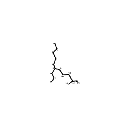 CCCCCC(CCC)CCCC(C)C